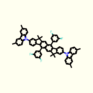 Cc1ccc2c(c1)c1cc(C)ccc1n2-c1ccc2c(c1)C(C)(C)c1cc3c(-c4cc(F)cc(F)c4)c4c(cc3c(-c3cc(F)cc(F)c3)c1-2)C(C)(C)c1cc(-n2c3ccc(C)cc3c3cc(C)ccc32)ccc1-4